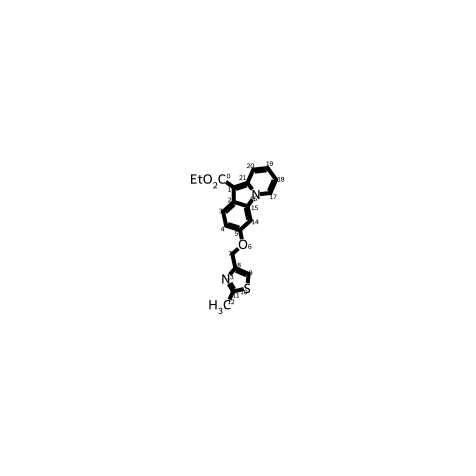 CCOC(=O)c1c2ccc(OCc3csc(C)n3)cc2n2ccccc12